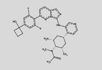 CC(=O)N(C)[C@@H]1[C@H](N)C[C@H](c2ccncc2Nc2ncc3ccc(-c4c(F)cc(C5(O)CCC5)cc4F)nn23)C[C@@H]1C